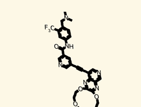 CN(C)Cc1ccc(NC(=O)c2cncc(C#Cc3cncc4nc5c(nc34)OCCOCCOCCO5)c2)cc1C(F)(F)F